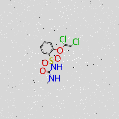 CNC(=O)NS(=O)(=O)c1ccccc1OC(Cl)=CCl